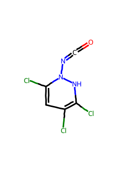 O=C=NN1NC(Cl)=C(Cl)C=C1Cl